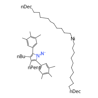 CCCCCC1=C(c2cc(C)c(C)c(C)c2)[N+](=[N-])C(c2cc(C)c(C)c(C)c2)=C1CCCC.CCCCCCCCCCCCCCCCCCC[CH2][Ni][CH2]CCCCCCCCCCCCCCCCCCC